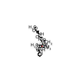 CC[C@@H](C)[C@H](NC(=O)c1ccccn1)C(=O)N(C)[C@H](C[C@@H](OC(C)=O)c1nc(C(=O)NC23CC(C(=O)OC)(C2)C3)cs1)C(C)C